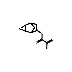 C=C(C)C(=O)OC1CC2CC1C1OC21